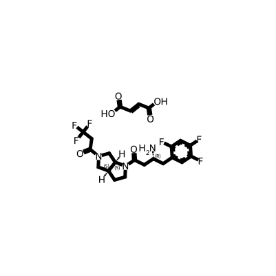 N[C@@H](CC(=O)N1CC[C@H]2CN(C(=O)CC(F)(F)F)C[C@H]21)Cc1cc(F)c(F)cc1F.O=C(O)C=CC(=O)O